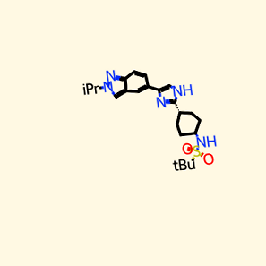 CC(C)n1cc2cc(-c3c[nH]c([C@H]4CC[C@H](NS(=O)(=O)C(C)(C)C)CC4)n3)ccc2n1